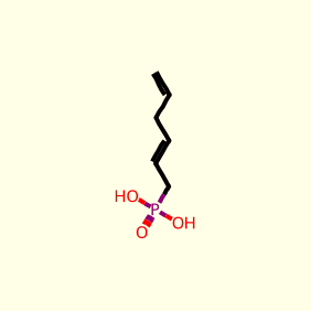 C=CCC=CCP(=O)(O)O